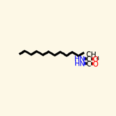 C.CCCCCCCCCCCC.N=C=O.N=C=O